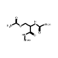 CCCCCCCCCC(=O)NC(COC(N)=O)C(=O)NCCCCCC